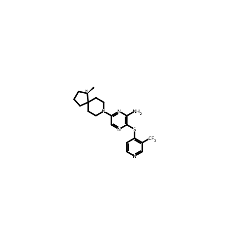 C[C@@H]1CCCC12CCN(c1cnc(Sc3ccncc3C(F)(F)F)c(N)n1)CC2